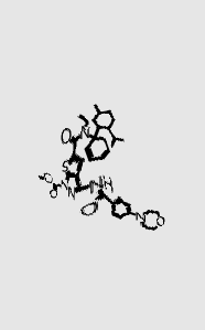 CCN(C(=O)c1cc2c(NC(=O)c3ccc(N4CCOCC4)cc3)nn(C(=O)OC)c2s1)C1(C2CC(C)CCC2C(C)C)C=CC=CC1